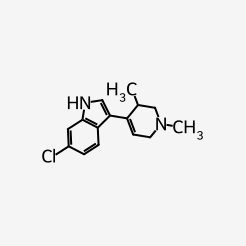 CC1CN(C)CC=C1c1c[nH]c2cc(Cl)ccc12